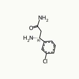 NC(=O)C[C@@H](N)c1cccc(Cl)c1